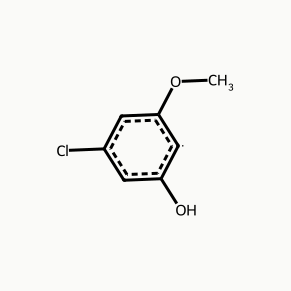 COc1[c]c(O)cc(Cl)c1